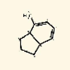 CC1=CC=CC2[C]CCC12